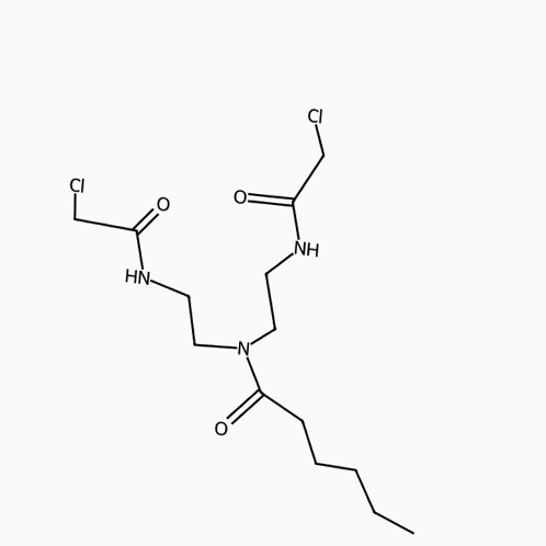 CCCCCC(=O)N(CCNC(=O)CCl)CCNC(=O)CCl